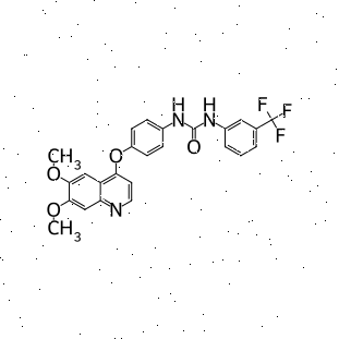 COc1cc2nccc(Oc3ccc(NC(=O)Nc4cccc(C(F)(F)F)c4)cc3)c2cc1OC